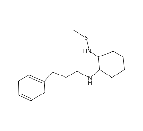 CSNC1CCCCC1NCCCC1=CCC=CC1